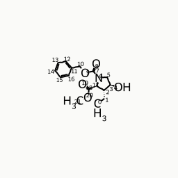 CC[C@H]1[C@H](O)CN(C(=O)OCc2ccccc2)[C@@H]1C(=O)OC